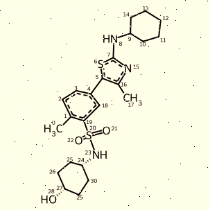 Cc1ccc(-c2sc(NC3CCCCC3)nc2C)cc1S(=O)(=O)N[C@H]1CC[C@@H](O)CC1